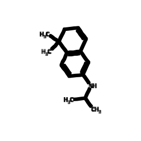 CC(C)Nc1ccc2c(c1)C=CCC2(C)C